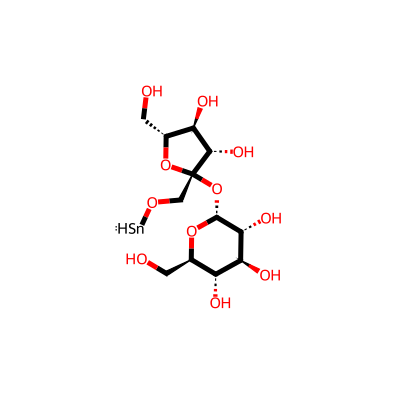 OC[C@H]1O[C@@](C[O][SnH])(O[C@H]2O[C@H](CO)[C@@H](O)[C@H](O)[C@H]2O)[C@@H](O)[C@@H]1O